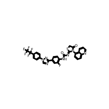 O=C(N=C1SCC(=O)N1c1cccc2ncccc12)Nc1ccc(-c2ncn(-c3ccc(C(F)(F)C(F)(F)F)cc3)n2)cc1F